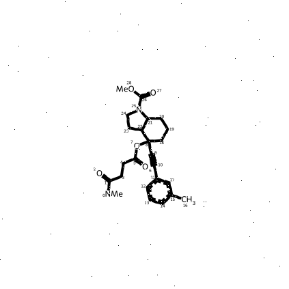 CNC(=O)CCC(=O)OC1(C#Cc2cccc(C)c2)CCCC2C1CCN2C(=O)OC